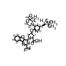 C[C@@H]1N(c2cc(C#C[Si](C)(C)C)cnc2O[C@H]2C[C@@H](C(=O)O)N(c3nc(C(F)F)nc4c3oc3ccccc34)C2)CCOC12COC2